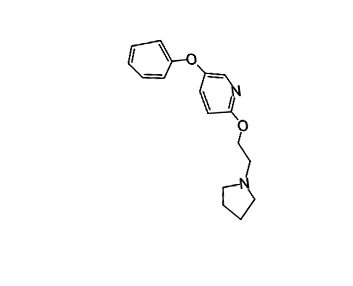 c1ccc(Oc2ccc(OCCN3CCCC3)nc2)cc1